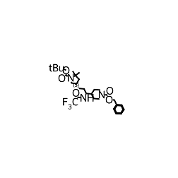 CC(C)(C)OC(=O)N1C[C@@H](CCC(NC(=O)C(F)(F)F)C2CCN(C(=O)OCc3ccccc3)CC2)CC1(C)C